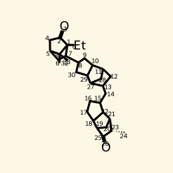 CCC12C(=O)CC(CC1C1CC3C4CC(CC5CCC6C7CC(C56)[C@H](C)C7=O)C(C4)C3C1)C2(C)C